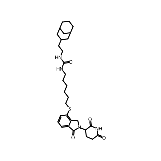 O=C1CCC(N2Cc3c(SCCCCCCNC(=O)NCCC4CC5CCCC(C5)C4)cccc3C2=O)C(=O)N1